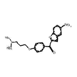 CCCCN(CCCC)CCCOc1ccc(C(=O)c2cc3cc([N+](=O)[O-])ccc3o2)cc1